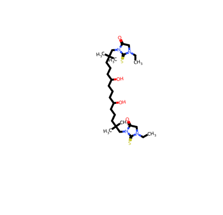 CCN1CC(=O)N(CC(C)(C)CCCC(O)CCCC(O)CCCC(C)(C)CN2C(=O)CN(CC)C2=S)C1=S